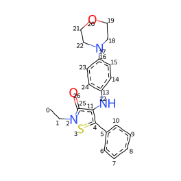 CCn1sc(-c2ccccc2)c(Nc2ccc(N3CCOCC3)cc2)c1=O